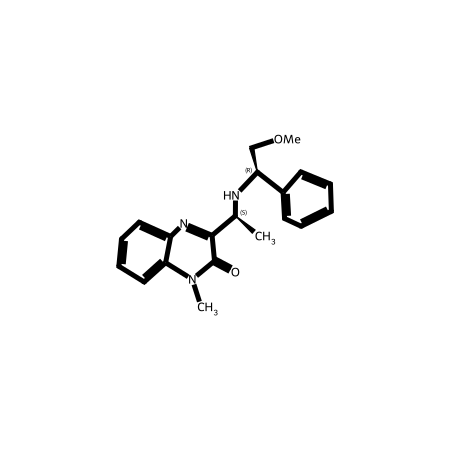 COC[C@H](N[C@@H](C)c1nc2ccccc2n(C)c1=O)c1ccccc1